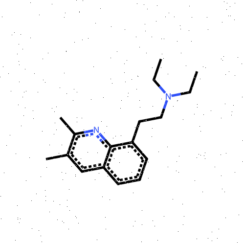 CCN(CC)CCc1cccc2cc(C)c(C)nc12